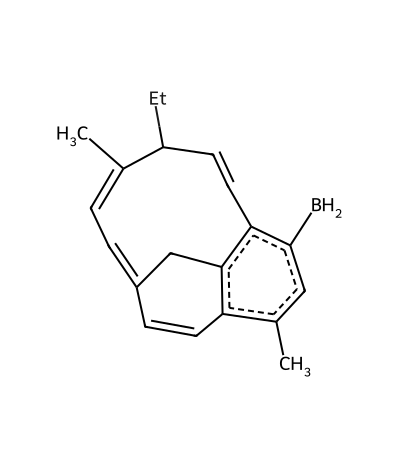 Bc1cc(C)c2c3c1/C=C\C(CC)/C(C)=C\C=C(\C=C2)C3